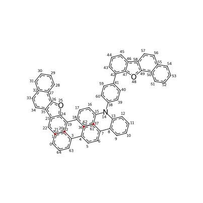 c1ccc(-c2ccc(-c3ccccc3N(c3ccc(-c4cccc5c4oc4c6ccccc6ccc54)cc3)c3ccc(-c4cccc5c4oc4c6ccccc6ccc54)cc3)cc2)cc1